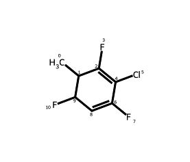 CC1C(F)=C(Cl)C(F)=CC1F